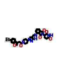 CCc1ccc2c(CC(=O)N3CCC(n4cc(CNc5cccc6c5C(=O)N(C5CCC(=O)NC5=O)C6=O)cn4)CC3)coc2c1